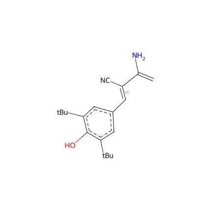 C=C(N)/C(C#N)=C/c1cc(C(C)(C)C)c(O)c(C(C)(C)C)c1